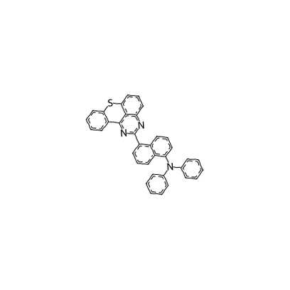 c1ccc(N(c2ccccc2)c2cccc3c(-c4nc5c6c(cccc6n4)Sc4ccccc4-5)cccc23)cc1